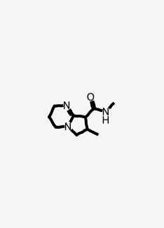 CNC(=O)C1C2=NCCCN2CC1C